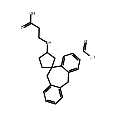 O=C(O)CCNC1CCC2(Cc3ccccc3Cc3ccccc32)C1.O=CO